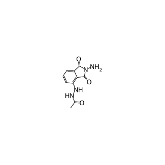 CC(=O)NNc1cccc2c1C(=O)N(N)C2=O